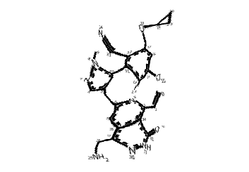 C=Cc1nc(-c2cnn(C)c2-c2c(F)c(Cl)cc(OC3CC3)c2C#N)cc2c(CN)n[nH]c(=O)c12